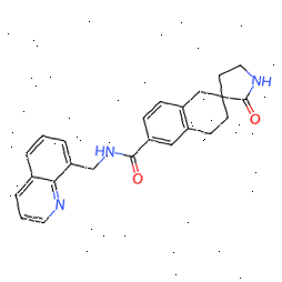 O=C(NCc1cccc2cccnc12)c1ccc2c(c1)CCC1(CCNC1=O)C2